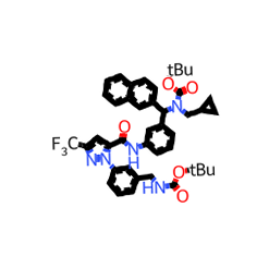 CC(C)(C)OC(=O)NCc1cccc(-n2nc(C(F)(F)F)cc2C(=O)Nc2cccc(C(c3ccc4ccccc4c3)N(CC3CC3)C(=O)OC(C)(C)C)c2)c1